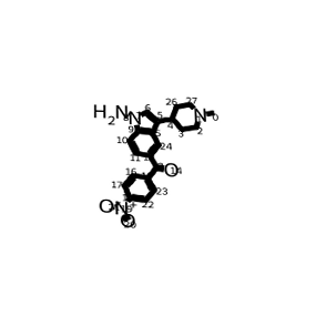 CN1CCC(c2cn(N)c3ccc(C(=O)c4ccc([N+](=O)[O-])cc4)cc23)CC1